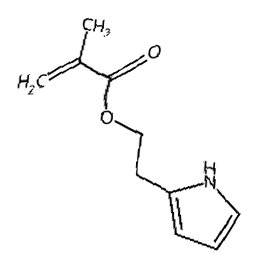 C=C(C)C(=O)OCCc1ccc[nH]1